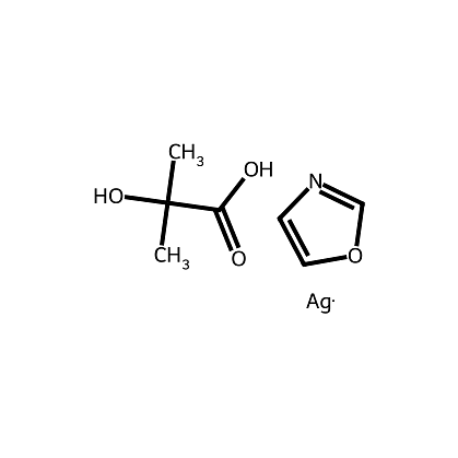 CC(C)(O)C(=O)O.[Ag].c1cocn1